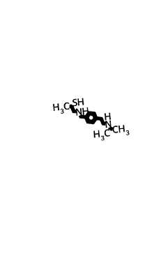 CC(S)CNCc1ccc(CCNC(C)C)cc1